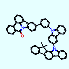 CC1(C)c2ccccc2-c2ccc3c4ccccc4n(-c4ccc5c(c4)c4ccccc4n5-c4cccc(-c5ccc6c(c5)c5cccc7c8ccccc8c(=O)n6c75)c4)c3c21